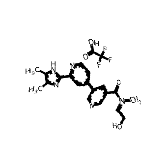 Cc1nc(-c2cc(-c3cncc(C(=O)N(C)CCO)c3)ccn2)[nH]c1C.O=C(O)C(F)(F)F